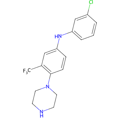 FC(F)(F)c1cc(Nc2cccc(Cl)c2)ccc1N1CCNCC1